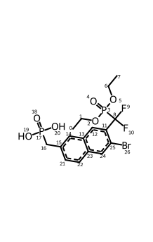 CCOP(=O)(OCC)C(F)(F)c1cc2cc(CP(=O)(O)O)ccc2cc1Br